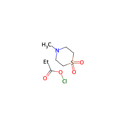 CCC(=O)OCl.CN1CCS(=O)(=O)CC1